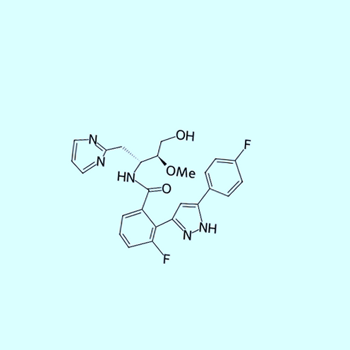 CO[C@H](CO)[C@@H](Cc1ncccn1)NC(=O)c1cccc(F)c1-c1cc(-c2ccc(F)cc2)[nH]n1